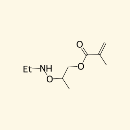 C=C(C)C(=O)OCC(C)ONCC